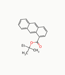 CCC(C)(C)OC(=O)c1cccc2cc3ccccc3cc12